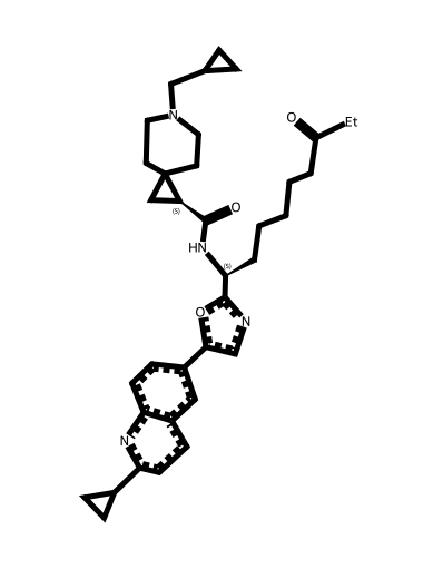 CCC(=O)CCCCC[C@H](NC(=O)[C@H]1CC12CCN(CC1CC1)CC2)c1ncc(-c2ccc3nc(C4CC4)ccc3c2)o1